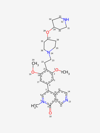 COc1cc(-c2cn(C)c(=O)c3cnccc23)cc(OC)c1CCN1CCC(OC2CCNCC2)CC1